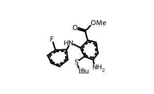 COC(=O)c1ccc(N)c(SC(C)(C)C)c1Nc1ccccc1F